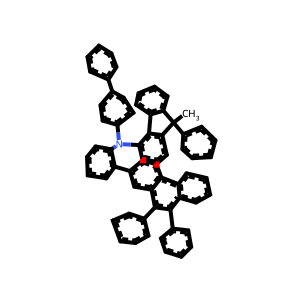 CC1(c2ccccc2)c2ccccc2-c2c(N(c3ccc(-c4ccccc4)cc3)c3ccccc3-c3ccc4c(c3)c(-c3ccccc3)c(-c3ccccc3)c3ccccc34)cccc21